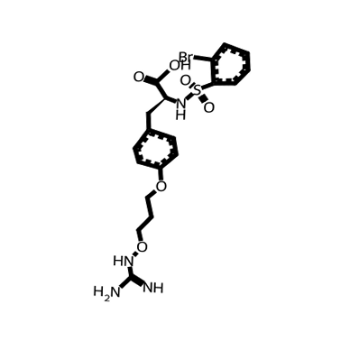 N=C(N)NOCCCOc1ccc(C[C@H](NS(=O)(=O)c2ccccc2Br)C(=O)O)cc1